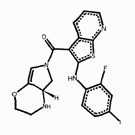 O=C(c1c(Nc2ccc(I)cc2F)sc2ncccc12)N1C=C2OCCN[C@H]2C1